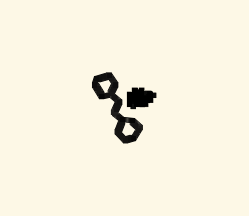 C(=Cc1ccccc1)c1ccccc1.[Na].[Na]